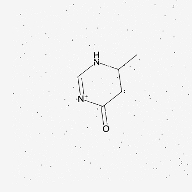 CC1[C]C(=O)[N+]=CN1